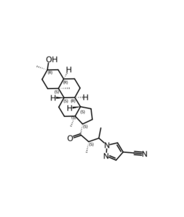 CC([C@H](C)C(=O)[C@H]1CC[C@H]2[C@@H]3CC[C@@H]4C[C@](C)(O)CC[C@]4(C)[C@H]3CC[C@]12C)n1cc(C#N)cn1